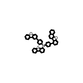 c1ccc2c(c1)ccc1c2oc2cccc(-c3ccc(N(c4ccc(-c5ccc6oc7ccccc7c6c5)cc4)c4cccc5c4sc4ccccc45)cc3)c21